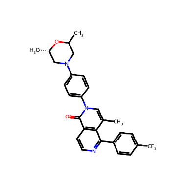 Cc1cn(-c2ccc(N3CC(C)O[C@@H](C)C3)cc2)c(=O)c2ccnc(-c3ccc(C(F)(F)F)cc3)c12